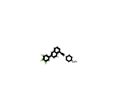 CCC[C@H]1CC[C@H](C#Cc2cccc3cc(-c4cc(F)c(F)c(F)c4)ccc23)CC1